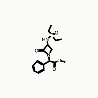 CCP(=O)(CC)NC1CN(C(C(=O)OC)c2ccccc2)C1=O